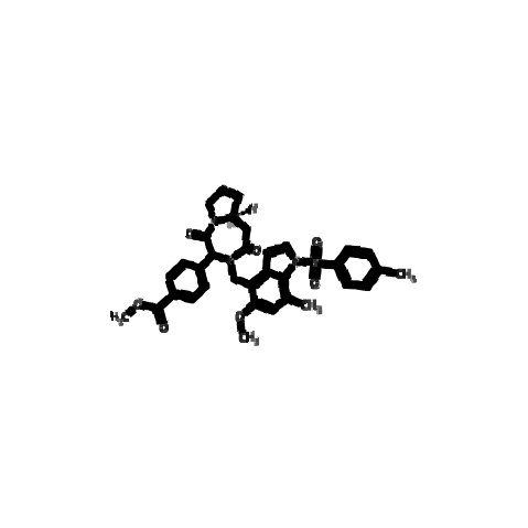 COC(=O)c1ccc(C2C(=O)N3CCC[C@H]3CC(=O)N2Cc2c(OC)cc(C)c3c2ccn3S(=O)(=O)c2ccc(C)cc2)cc1